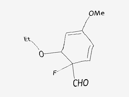 CCOC1C=C(OC)C=CC1(F)C=O